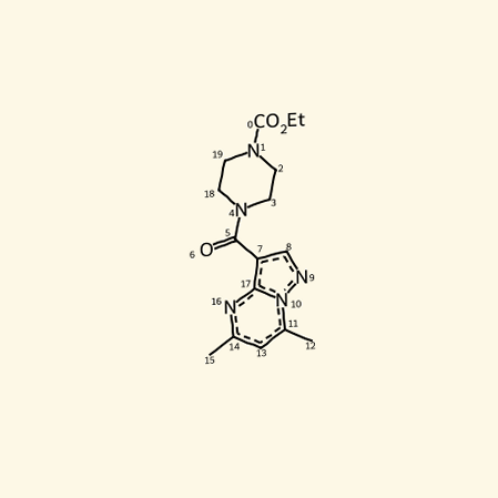 CCOC(=O)N1CCN(C(=O)c2cnn3c(C)cc(C)nc23)CC1